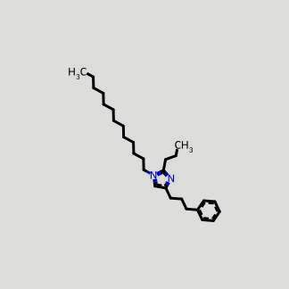 CCCCCCCCCCCCCn1cc(CCCc2ccccc2)nc1CCC